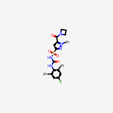 CC(C)c1cc(F)cc(C(C)C)c1NC(=O)NS(=O)(=O)c1cc(C(=O)N2CCC2)n(C(C)C)n1